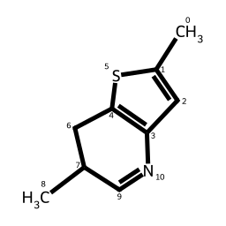 Cc1cc2c(s1)CC(C)C=N2